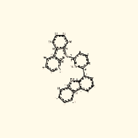 c1cc(-c2cccc3c2sc2ccccc23)nc(-n2c3ccccc3c3cccnc32)c1